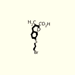 CC(Cc1ccc(SCCCBr)cc1)C(=O)C(=O)O